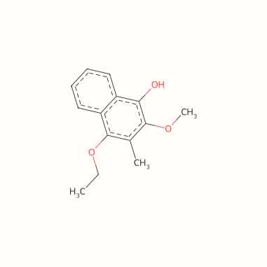 CCOc1c(C)c(OC)c(O)c2ccccc12